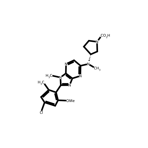 COc1cc(Cl)cc(C)c1-c1nc2nc(N(C)[C@@H]3CCN(C(=O)O)C3)cnc2n1C